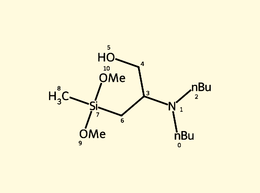 CCCCN(CCCC)C(CO)C[Si](C)(OC)OC